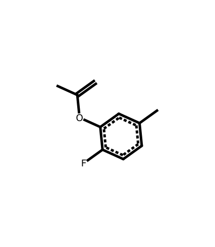 C=C(C)Oc1cc(C)ccc1F